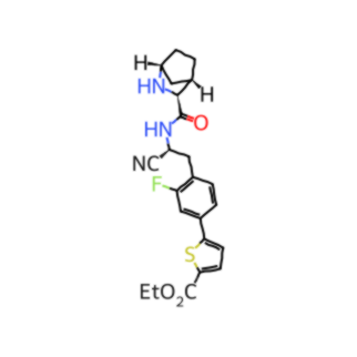 CCOC(=O)c1ccc(-c2ccc(C[C@@H](C#N)NC(=O)[C@H]3N[C@@H]4CC[C@H]3C4)c(F)c2)s1